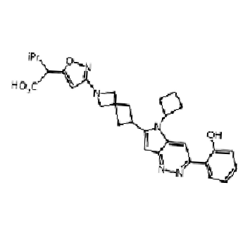 CC(C)C(C(=O)O)c1cc(N2CC3(CC(c4cc5nnc(-c6ccccc6O)cc5n4C4CCC4)C3)C2)no1